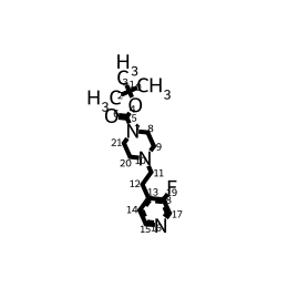 CC(C)(C)OC(=O)N1CCN(CCc2ccncc2F)CC1